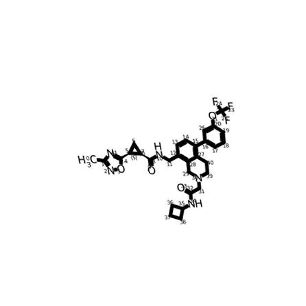 Cc1noc([C@H]2C[C@H]2C(=O)NCc2ccc(-c3cccc(OC(F)(F)F)c3)c3c2CN(CC(=O)NC2CCC2)CC3)n1